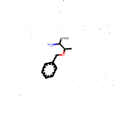 CCCCCC(N)C(C)OCc1ccccc1